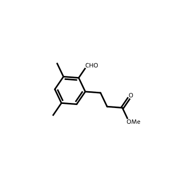 COC(=O)CCc1cc(C)cc(C)c1C=O